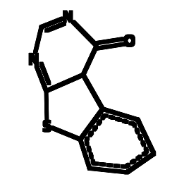 O=C1N=CN=C2Sc3ccccc3C12